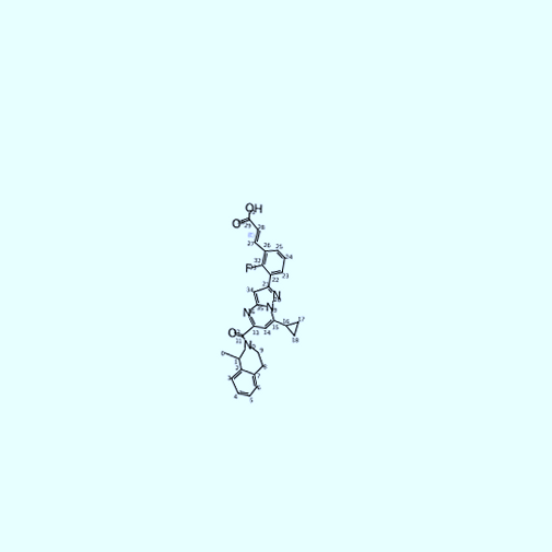 CC1c2ccccc2CCN1C(=O)c1cc(C2CC2)n2nc(-c3cccc(/C=C/C(=O)O)c3F)cc2n1